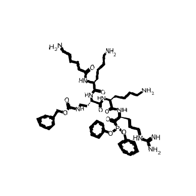 N=C(N)NCCC[C@H](NC(=O)[C@H](CCCCN)NC(=O)[C@H](CCNC(=O)OCc1ccccc1)NC(=O)[C@H](CCCCN)NC(=O)CCCCCN)C(=O)P(Oc1ccccc1)Oc1ccccc1